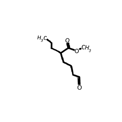 CCCC(CCCC=O)C(=O)OC